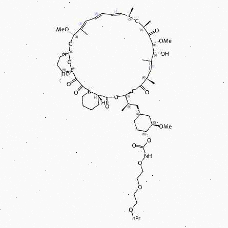 CCCOCCOCCONC(=O)O[C@@H]1CC[C@@H](C[C@@H](C)[C@@H]2CC(=O)[C@H](C)/C=C(\C)[C@@H](O)[C@@H](OC)C(=O)[C@H](C)C[C@H](C)/C=C/C=C/C=C(\C)[C@@H](OC)C[C@@H]3CC[C@@H](C)[C@@](O)(O3)C(=O)C(=O)N3CCCC[C@H]3C(=O)O2)C[C@H]1OC